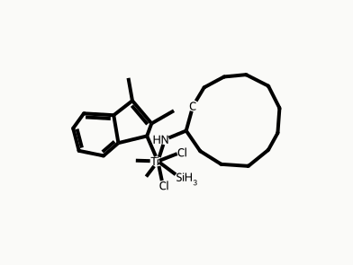 CC1=C(C)[CH]([Ti]([CH3])([CH3])([SiH3])([Cl])([Cl])[NH]C2CCCCCCCCCCC2)c2ccccc21